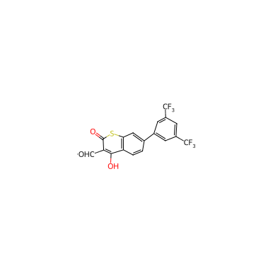 O=[C]c1c(O)c2ccc(-c3cc(C(F)(F)F)cc(C(F)(F)F)c3)cc2sc1=O